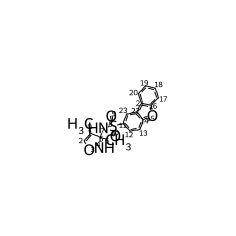 CC1=CONC1(C)NS(=O)(=O)c1ccc2oc3ccccc3c2c1